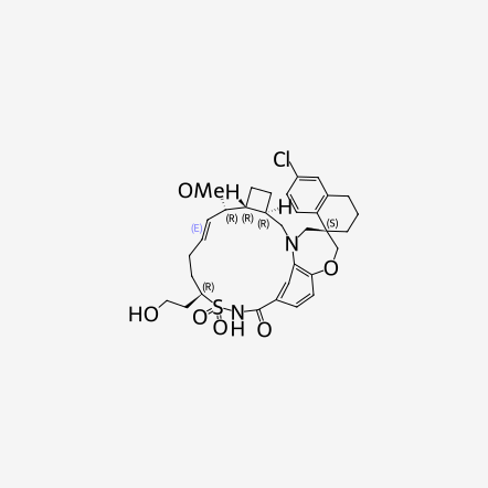 CO[C@H]1/C=C/CC[C@H](CCO)S(=O)(=O)NC(=O)c2ccc3c(c2)N(C[C@@H]2CC[C@H]21)C[C@@]1(CCCc2cc(Cl)ccc21)CO3